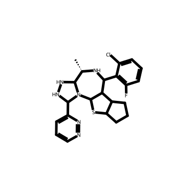 C[C@@H]1NC(c2c(F)cccc2Cl)C2C3CCCC3SC2N2C(c3cccnn3)NNC12